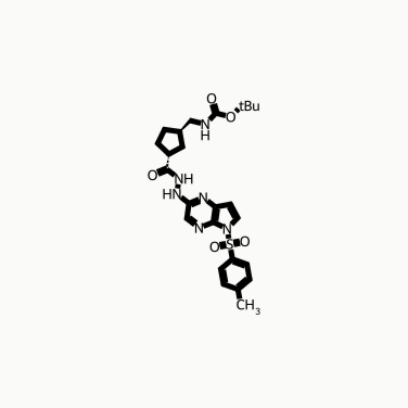 Cc1ccc(S(=O)(=O)n2ccc3nc(NNC(=O)[C@@H]4CC[C@@H](CNC(=O)OC(C)(C)C)C4)cnc32)cc1